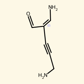 N/C=C(/C#CCN)C=O